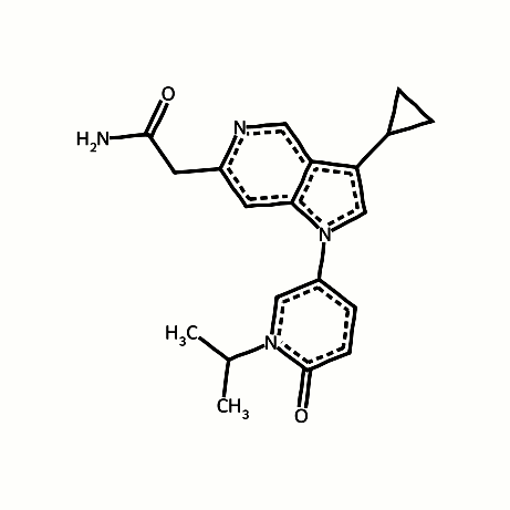 CC(C)n1cc(-n2cc(C3CC3)c3cnc(CC(N)=O)cc32)ccc1=O